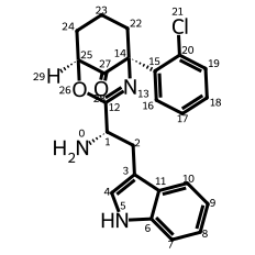 N[C@@H](Cc1c[nH]c2ccccc12)C1=N[C@]2(c3ccccc3Cl)CCC[C@H](O1)C2=O